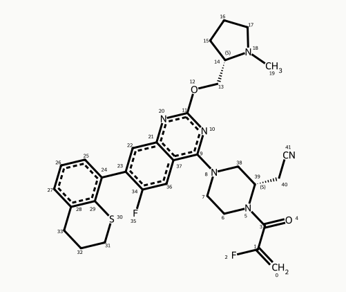 C=C(F)C(=O)N1CCN(c2nc(OC[C@@H]3CCCN3C)nc3cc(-c4cccc5c4SCCC5)c(F)cc23)C[C@@H]1CC#N